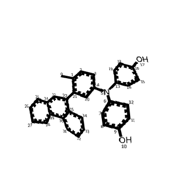 Cc1ccc(N(c2ccc(O)cc2)c2ccc(O)cc2)cc1-c1cc2ccccc2c2ccccc12